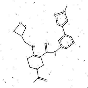 CC(=O)N1CCC(NCC2COC2)=C(C(=N)Nc2cccc(-c3cnn(C)c3)c2)C1